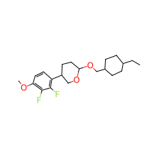 CCC1CCC(COC2CCC(c3ccc(OC)c(F)c3F)CO2)CC1